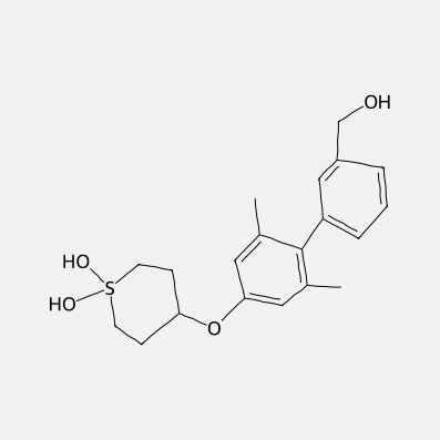 Cc1cc(OC2CCS(O)(O)CC2)cc(C)c1-c1cccc(CO)c1